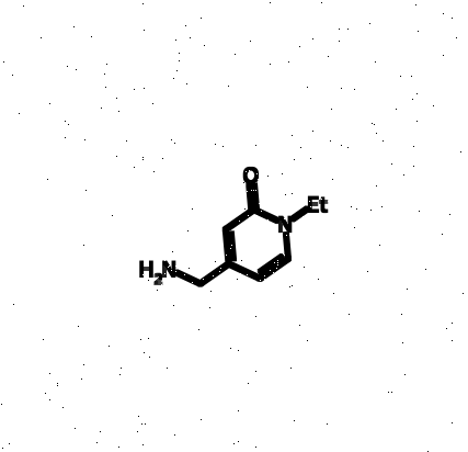 CCn1ccc(CN)cc1=O